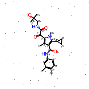 Cc1cc(NC(=O)c2c(C)c(C(=O)C(=O)NCC(C)(C)O)n(C)c2C2CC2)ccc1F